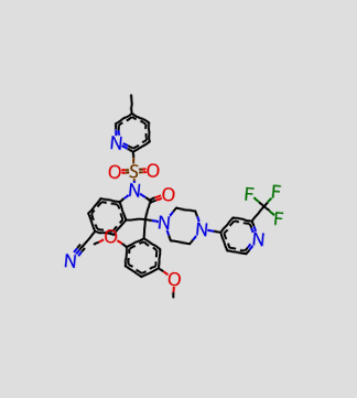 COc1ccc(OC)c(C2(N3CCN(c4ccnc(C(F)(F)F)c4)CC3)C(=O)N(S(=O)(=O)c3ccc(C)cn3)c3ccc(C#N)cc32)c1